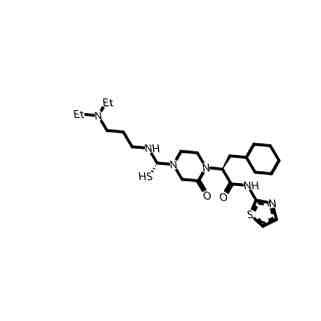 CCN(CC)CCCN[C@@H](S)N1CCN([C@@H](CC2CCCCC2)C(=O)Nc2nccs2)C(=O)C1